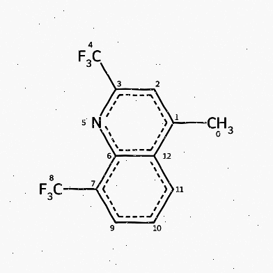 Cc1cc(C(F)(F)F)nc2c(C(F)(F)F)cccc12